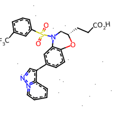 O=C(O)CC[C@H]1CN(S(=O)(=O)c2cccc(C(F)(F)F)c2)c2cc(-c3cnn4ccccc34)ccc2O1